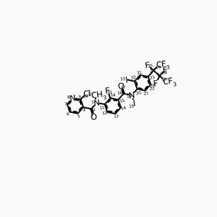 CN(C(=O)c1cccnc1Cl)c1cccc(C(=O)N(I)c2ccc(C(F)(C(F)(F)F)C(F)(F)C(F)(F)F)cc2I)c1F